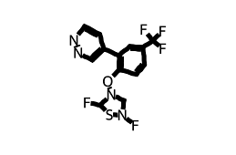 FC1SN(F)CN1Oc1ccc(C(F)(F)F)cc1-c1ccnnc1